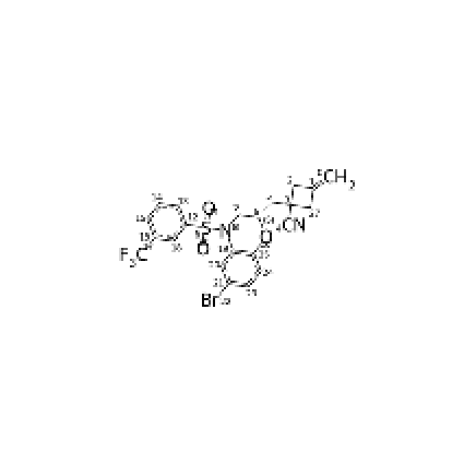 C=C1CC(C#N)(C[C@H]2CN(S(=O)(=O)c3cccc(C(F)(F)F)c3)c3cc(Br)ccc3O2)C1